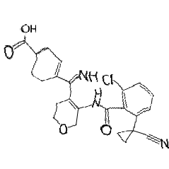 N#CC1(c2cccc(Cl)c2C(=O)NC2=C(C(=N)C3=CCC(C(=O)O)CC3)CCOC2)CC1